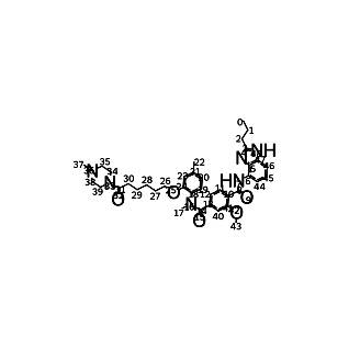 CCCc1nc2c(NC(=O)c3ccc(C(=O)N(C)c4ccc(C)cc4OCCCCCC(=O)N4CCN(C)CC4)cc3OC)cccc2[nH]1